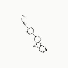 OCC#Cc1ccc(-c2ccc3c(c2)[nH]c2ccncc23)cn1